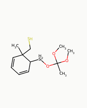 COC(C)(OC)O[SiH2]C1C=CC=CC1(C)CS